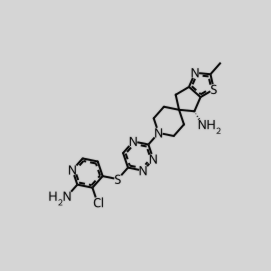 Cc1nc2c(s1)[C@H](N)C1(CCN(c3ncc(Sc4ccnc(N)c4Cl)nn3)CC1)C2